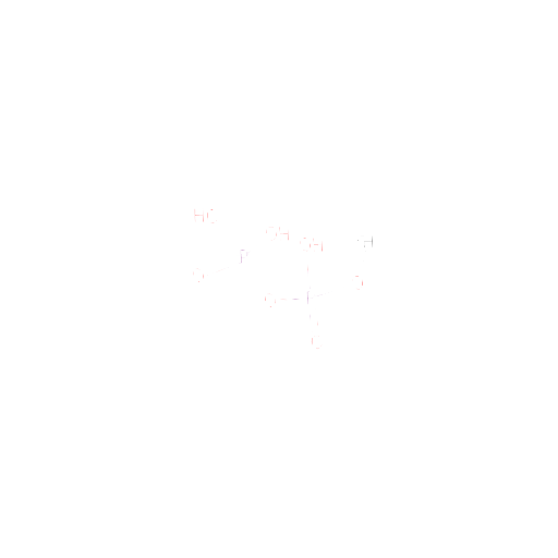 [2H]OP(=O)(O)OP(=O)(O)O